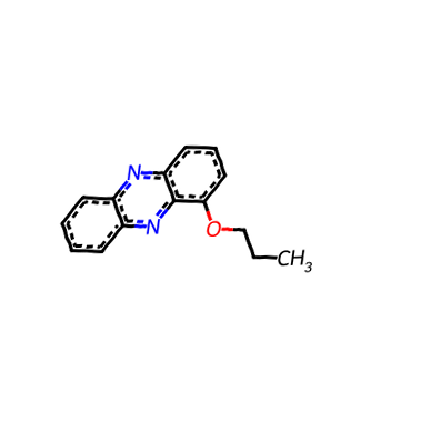 CCCOc1cccc2nc3ccccc3nc12